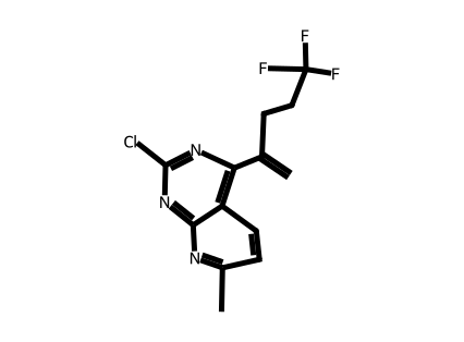 C=C(CCC(F)(F)F)c1nc(Cl)nc2nc(C)ccc12